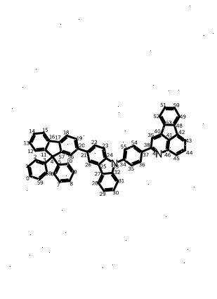 c1ccc(C2(c3ccccc3)c3ccccc3-c3ccc(-c4ccc5c(c4)c4ccccc4n5-c4ccc(-c5cc6c7c(cccc7n5)-c5ccccc5-6)cc4)cc32)cc1